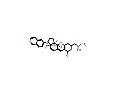 CN(C)CC1CC(=O)C2=C(C1)O[C@@H]1C(=C2)C=C[C@]2(C)[C@@H](c3ccc4cnccc4c3)CC[C@@H]12